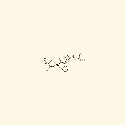 COC1=CCC(N(CC2CCCC2)C(=O)Nc2ncc(SCC(=O)O)s2)C=C1Cl